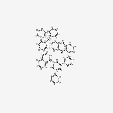 c1ccc(-c2nc(-c3cccc(-c4cccc5c4Oc4ccc6c(c4O5)-c4ccccc4C6(c4ccccc4)c4ccccc4)c3)nc(-c3cccc4ccccc34)n2)cc1